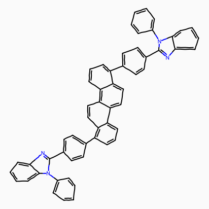 c1ccc(-n2c(-c3ccc(-c4cccc5c4ccc4c6cccc(-c7ccc(-c8nc9ccccc9n8-c8ccccc8)cc7)c6ccc54)cc3)nc3ccccc32)cc1